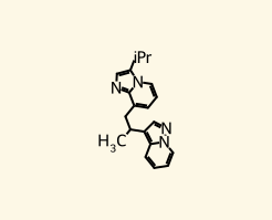 CC(C)c1cnc2c(CC(C)c3cnn4ccccc34)cccn12